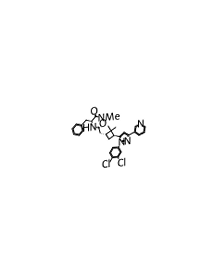 CNC(=O)[C@H](Cc1ccccc1)NC(=O)C[C@H]1C[C@H](c2cc(-c3cccnc3)nn2-c2ccc(Cl)c(Cl)c2)C1(C)C